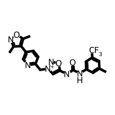 Cc1cc(NC(=O)[N-]c2c[n+](Cc3ccc(-c4c(C)noc4C)cn3)no2)cc(C(F)(F)F)c1